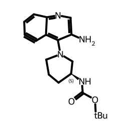 CC(C)(C)OC(=O)N[C@H]1CCCN(c2c(N)cnc3ccc#cc23)C1